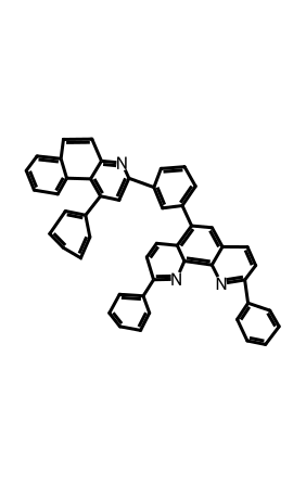 c1ccc(-c2ccc3cc(-c4cccc(-c5cc(-c6ccccc6)c6c(ccc7ccccc76)n5)c4)c4ccc(-c5ccccc5)nc4c3n2)cc1